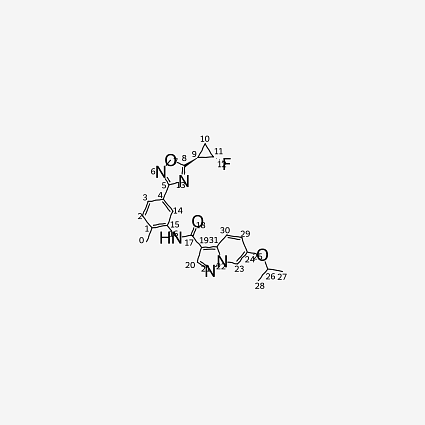 Cc1ccc(-c2noc([C@H]3C[C@@H]3F)n2)cc1NC(=O)c1cnn2cc(OC(C)C)ccc12